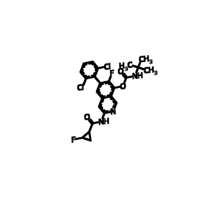 CC(C)(C)NC(=O)Oc1c(F)c(-c2c(Cl)cccc2Cl)cc2cc(NC(=O)C3CC3F)ncc12